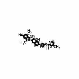 CCc1cc(C#N)cc(C)c1C(=O)NC(Cc1ccc(-n2cc(CNc3cc(C)ccn3)cn2)cc1)C(=O)O